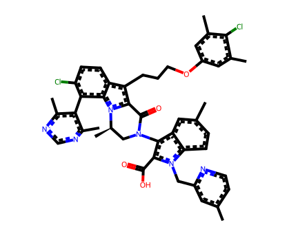 Cc1ccnc(Cn2c(C(=O)O)c(N3C[C@@H](C)n4c(c(CCCOc5cc(C)c(Cl)c(C)c5)c5ccc(Cl)c(-c6c(C)ncnc6C)c54)C3=O)c3cc(C)ccc32)c1